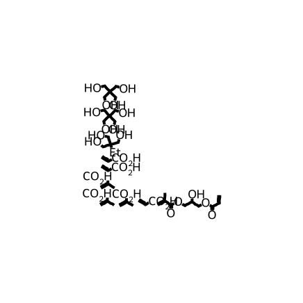 C=C(C)C(=O)O.C=C(C)C(=O)O.C=C(C)C(=O)O.C=CC(=O)O.C=CC(=O)O.C=CC(=O)O.C=CC(=O)OCC(O)COC(=O)C(=C)C.CCC(CO)(CO)CO.OCC(CO)(CO)CO.OCC(CO)(CO)CO